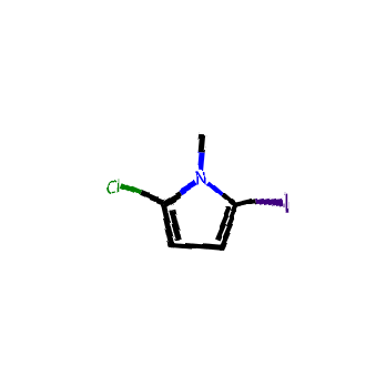 Cn1c(Cl)ccc1I